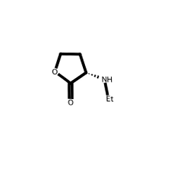 CCN[C@H]1CCOC1=O